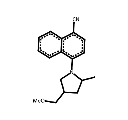 COCC1CC(C)N(c2ccc(C#N)c3ccccc23)C1